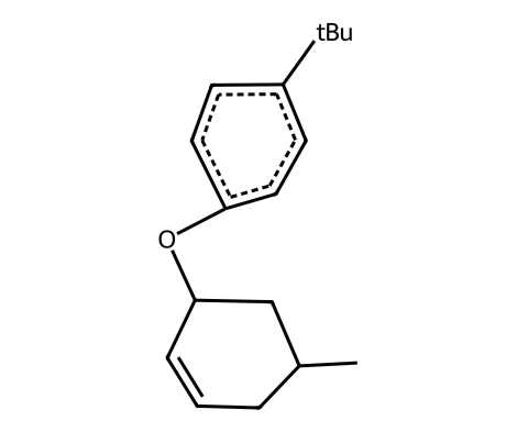 CC1CC=CC(Oc2ccc(C(C)(C)C)cc2)C1